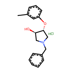 Cc1cccc(O[C@@H]2CN(Cc3ccccc3)C[C@H]2O)c1.Cl